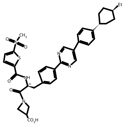 CC[C@H]1CC[C@H](c2ccc(-c3cnc(-c4ccc(C[C@H](NC(=O)c5ccc(S(C)(=O)=O)s5)C(=O)N5CC(C(=O)O)C5)cc4)nc3)cc2)CC1